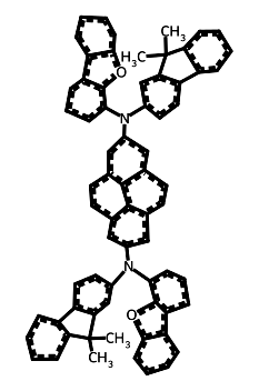 CC1(C)c2ccccc2-c2ccc(N(c3cc4ccc5cc(N(c6ccc7c(c6)C(C)(C)c6ccccc6-7)c6cccc7c6oc6ccccc67)cc6ccc(c3)c4c56)c3cccc4c3oc3ccccc34)cc21